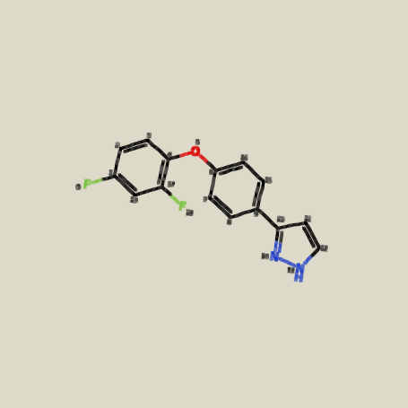 Fc1ccc(Oc2ccc(-c3cc[nH]n3)cc2)c(F)c1